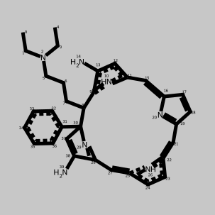 CCN(CC)CCCC1c2[nH]c(cc2N)C=C2C=CC(=N2)C=c2ccc([nH]2)=CC2=NC1(c1ccccc1)C=C2N